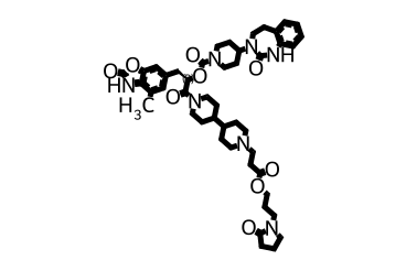 Cc1cc(C[C@@H](OC(=O)N2CCC(N3CCc4ccccc4NC3=O)CC2)C(=O)N2CCC(C3CCN(CCC(=O)OCCCN4CCCC4=O)CC3)CC2)cc2oc(=O)[nH]c12